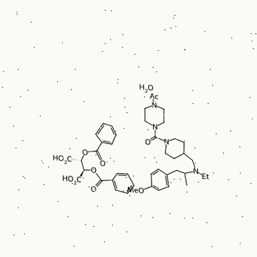 CCN(CC1CCN(C(=O)N2CCN(C(C)=O)CC2)CC1)C(C)Cc1ccc(OC)cc1.O.O=C(O[C@@H](C(=O)O)[C@@H](OC(=O)c1ccccc1)C(=O)O)c1ccccc1